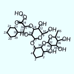 CC1CCCC(OC2OC(CO)C(O)C(O[C@@H](CC3CCCCC3)C(=O)OO)C2O)C1OC1OC(C)C(O)C(O)C1O